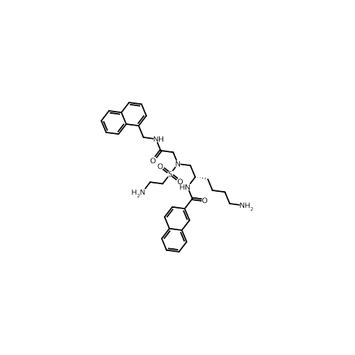 NCCCC[C@@H](CN(CC(=O)NCc1cccc2ccccc12)S(=O)(=O)CCN)NC(=O)c1ccc2ccccc2c1